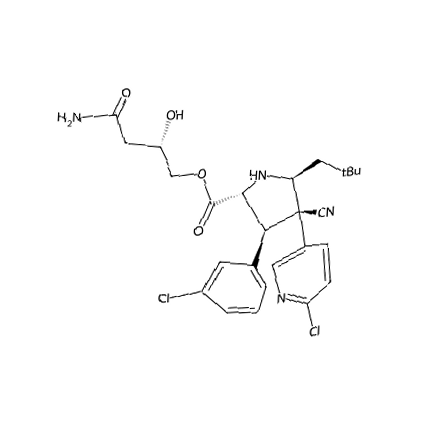 CC(C)(C)C[C@@H]1N[C@@H](C(=O)OC[C@@H](O)CC(N)=O)[C@H](c2cccc(Cl)c2)[C@@]1(C#N)c1ccc(Cl)nc1